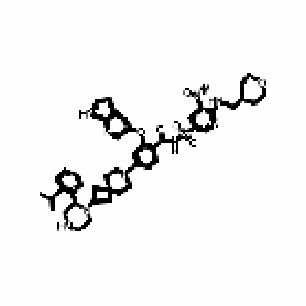 CC(C)c1ccccc1C1CNCCN1C1CC2(CCN(c3ccc(C(=O)NS(=O)(=O)c4cnc(NCC5CCOCC5)c([N+](=O)[O-])c4)c(Oc4cnc5[nH]ccc5c4)c3)CC2)C1